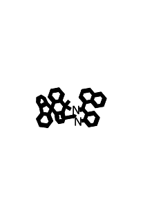 CC1(C)c2ccccc2C2(C3=C(C=CCC3)c3ccccc32)c2cccc(-c3nc(-c4cccc5ccccc45)c4ccccc4n3)c21